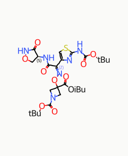 CC(C)COC(=O)C1(O/N=C(\C(=O)N[C@H]2CONC2=O)c2csc(NC(=O)OC(C)(C)C)n2)CN(C(=O)OC(C)(C)C)C1